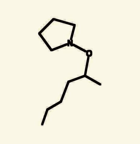 CCCCC(C)ON1CCCC1